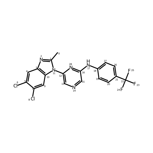 Cc1nc2cc(Cl)c(Cl)cc2n1-c1cncc(Nc2ccc(C(F)(F)F)cc2)n1